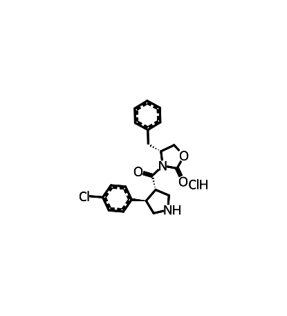 Cl.O=C1OC[C@@H](Cc2ccccc2)N1C(=O)[C@@H]1CNC[C@H]1c1ccc(Cl)cc1